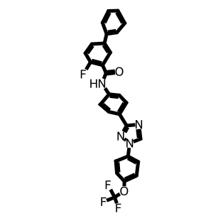 O=C(Nc1ccc(-c2ncn(-c3ccc(OC(F)(F)F)cc3)n2)cc1)c1cc(-c2ccccc2)ccc1F